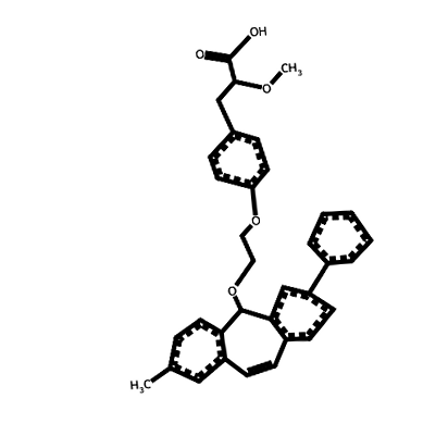 COC(Cc1ccc(OCCOC2c3ccc(C)cc3C=Cc3ccc(-c4ccccc4)cc32)cc1)C(=O)O